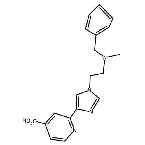 CN(CCn1cnc(-c2cc(C(=O)O)ccn2)c1)Cc1ccccc1